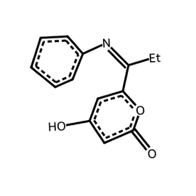 CCC(=Nc1ccccc1)c1cc(O)cc(=O)o1